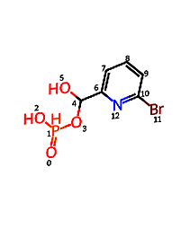 O=[PH](O)OC(O)c1cccc(Br)n1